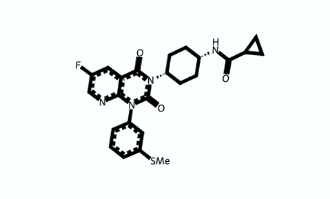 CSc1cccc(-n2c(=O)n([C@H]3CC[C@@H](NC(=O)C4CC4)CC3)c(=O)c3cc(F)cnc32)c1